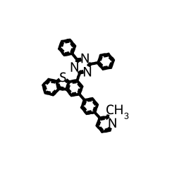 Cc1ncccc1-c1ccc(-c2cc(-c3nc(-c4ccccc4)nc(-c4ccccc4)n3)c3sc4ccccc4c3c2)cc1